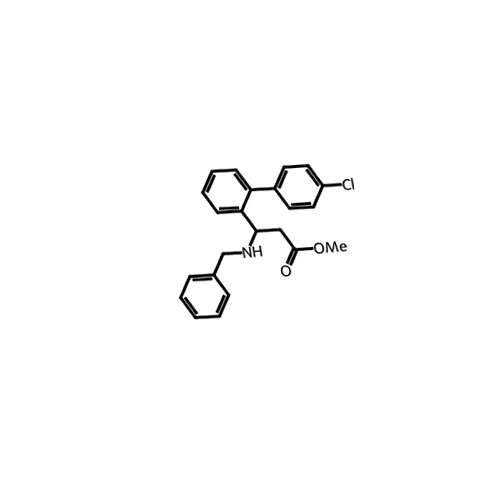 COC(=O)CC(NCc1ccccc1)c1ccccc1-c1ccc(Cl)cc1